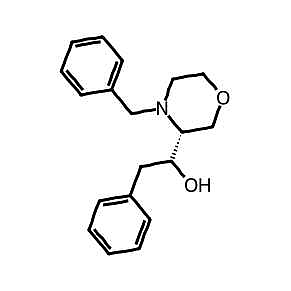 OC(Cc1ccccc1)[C@H]1COCCN1Cc1ccccc1